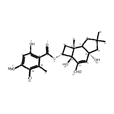 COc1cc(O)c(C(=O)O[C@@H]2C[C@]3(C)C4CC(C)(C)C[C@@]4(O)C=C(C=O)[C@]23O)c(C)c1Cl